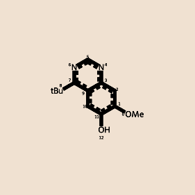 COc1cc2ncnc(C(C)(C)C)c2cc1O